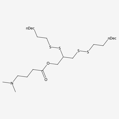 CCCCCCCCCCCCSSCC(COC(=O)CCCN(C)C)SSCCCCCCCCCCCC